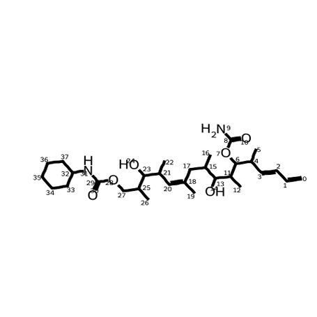 C=CC=CC(C)C(OC(N)=O)C(C)C(O)C(C)CC(C)=CC(C)C(O)C(C)COC(=O)NC1CCCCC1